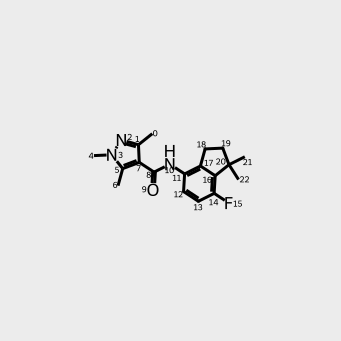 Cc1nn(C)c(C)c1C(=O)Nc1ccc(F)c2c1CCC2(C)C